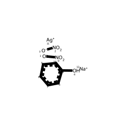 O=[N+]([O-])[O-].O=[N+]([O-])[O-].Oc1ccccc1.[Ag+].[Na+]